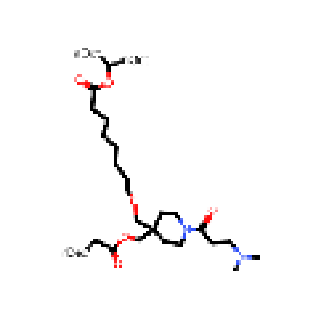 CCCCCCCCCCCC(=O)OCC1(COCCCCCCCC(=O)OC(CCCCCCCC)CCCCCCCC)CCN(C(=O)CCN(C)C)CC1